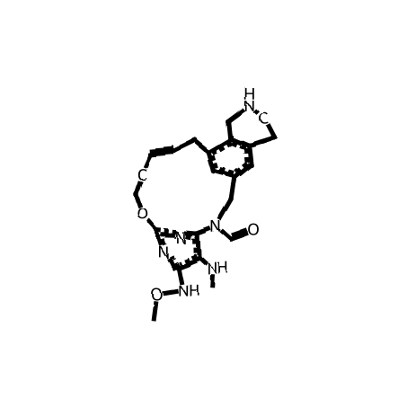 CNc1c(NOC)nc2nc1N(C=O)Cc1cc(c3c(c1)CCNC3)C/C=C/CCO2